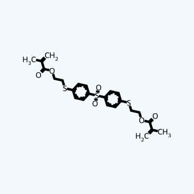 C=C(C)C(=O)OCCSc1ccc(S(=O)(=O)c2ccc(SCCOC(=O)C(=C)C)cc2)cc1